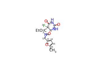 CCOC(=O)C1(F)C(=O)NC(=O)NC1O/N=C\c1ccc(C)o1